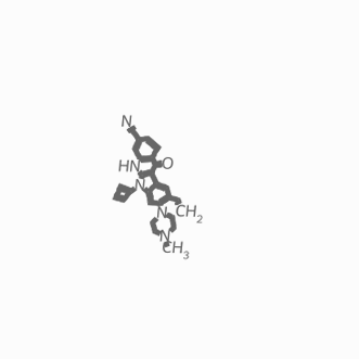 C=Cc1cc2c3c(=O)c4ccc(C#N)cc4[nH]c3n(C3=CC=C3)c2cc1N1CCN(C)CC1